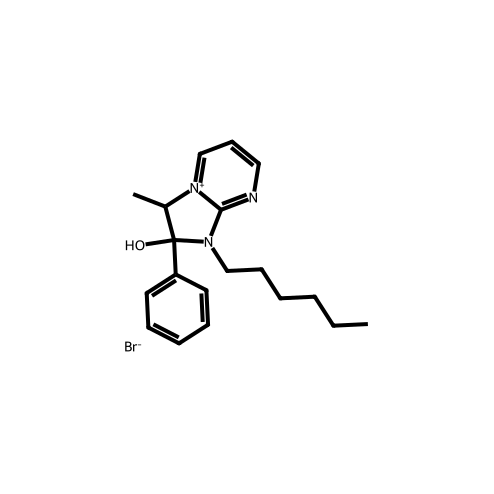 CCCCCCN1c2nccc[n+]2C(C)C1(O)c1ccccc1.[Br-]